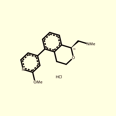 CNC[C@H]1OCCc2c(-c3ccnc(OC)c3)cccc21.Cl